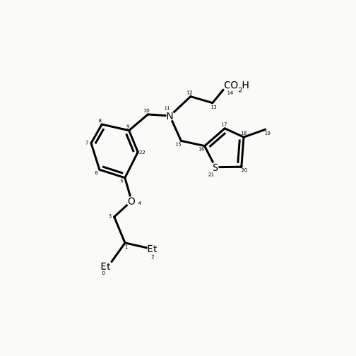 CCC(CC)COc1cccc(CN(CCC(=O)O)Cc2cc(C)cs2)c1